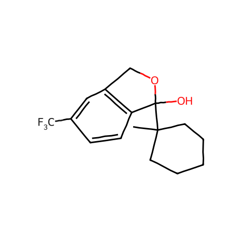 CC1(C2(O)OCc3cc(C(F)(F)F)ccc32)CCCCC1